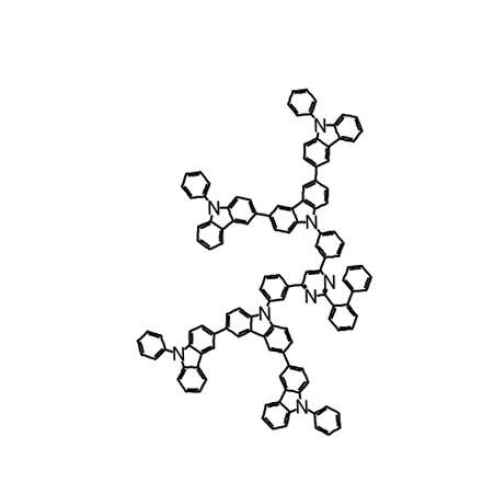 c1ccc(-c2ccccc2-c2nc(-c3cccc(-n4c5ccc(-c6ccc7c(c6)c6ccccc6n7-c6ccccc6)cc5c5cc(-c6ccc7c(c6)c6ccccc6n7-c6ccccc6)ccc54)c3)cc(-c3cccc(-n4c5ccc(-c6ccc7c(c6)c6ccccc6n7-c6ccccc6)cc5c5cc(-c6ccc7c(c6)c6ccccc6n7-c6ccccc6)ccc54)c3)n2)cc1